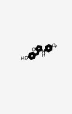 COc1ccc(NC2=C(Cc3ccc(O)cc3)C(=O)CC2)cc1